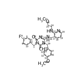 C=C1N(Cc2ccc(F)cc2)C(=O)N=C(NCc2cccnc2NCCOC)N1Cc1ccc(OC)cc1